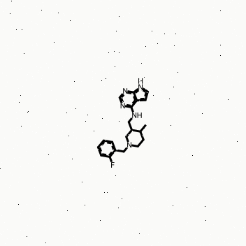 CC1CCN(Cc2ccccc2F)CC1CNc1ncnc2[nH]ccc12